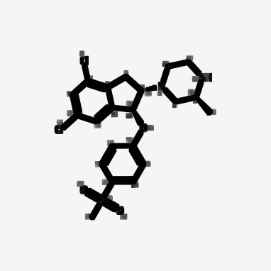 C[C@H]1CN([C@H]2Cc3c(Cl)cc(Cl)cc3[C@@H]2Oc2ccc(S(C)(=O)=O)cc2)CCN1